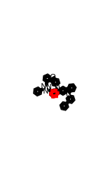 c1ccc(-c2cccc(-n3c4ccccc4c4cc5c(cc43)c3ccccc3n5-c3ccc4oc5cccc(-c6nc(-c7ccccc7)nc(-c7ccccc7)n6)c5c4c3)c2)cc1